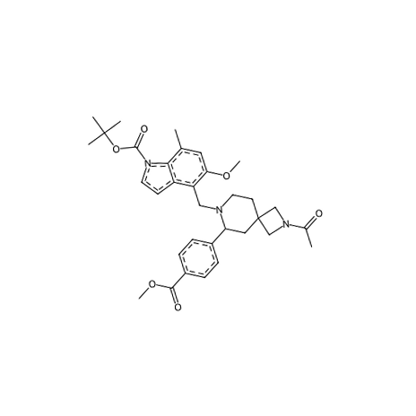 COC(=O)c1ccc(C2CC3(CCN2Cc2c(OC)cc(C)c4c2ccn4C(=O)OC(C)(C)C)CN(C(C)=O)C3)cc1